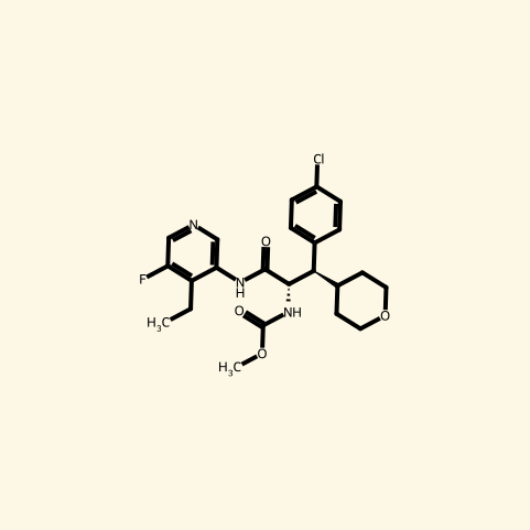 CCc1c(F)cncc1NC(=O)[C@@H](NC(=O)OC)[C@@H](c1ccc(Cl)cc1)C1CCOCC1